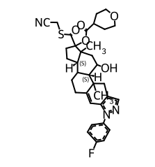 CC12Cc3cnn(-c4ccc(F)cc4)c3C=C1CCC1[C@@H]2C(O)CC2(C)[C@H]1CCC2(OC(=O)C1CCOCC1)C(=O)SCC#N